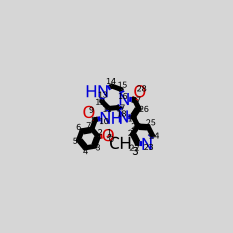 COc1ccccc1C(=O)NC1CNCCn2c1nc(-c1ccncc1)cc2=O